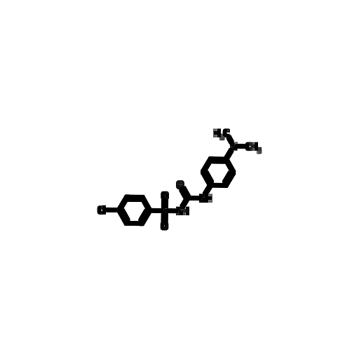 CN(C)c1ccc(NC(=O)NS(=O)(=O)c2ccc(Cl)cc2)cc1